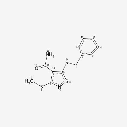 CSc1nsc(SCc2ccccc2)c1C(N)=O